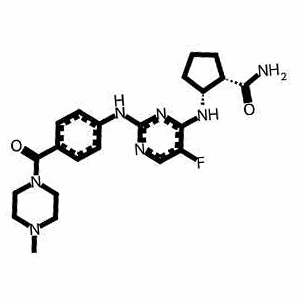 CN1CCN(C(=O)c2ccc(Nc3ncc(F)c(N[C@@H]4CCC[C@@H]4C(N)=O)n3)cc2)CC1